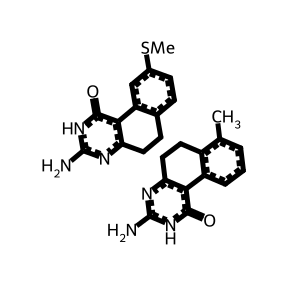 CSc1ccc2c(c1)-c1c(nc(N)[nH]c1=O)CC2.Cc1cccc2c1CCc1nc(N)[nH]c(=O)c1-2